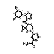 NC(=O)c1cc(N2CCC(C(=O)N3N=CCC3c3cc(F)cc(F)c3)C3(CC3)C2)ncn1